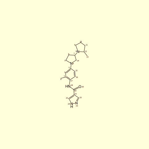 Cc1cc(N2CCC(N3CCCC3C)C2)ccc1NC(=O)c1cn[nH]c1